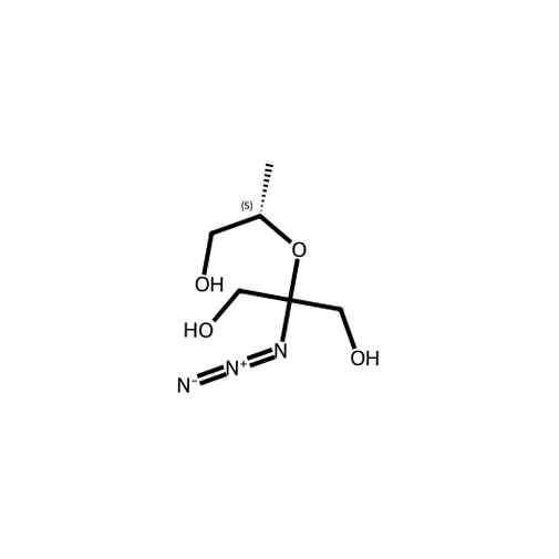 C[C@@H](CO)OC(CO)(CO)N=[N+]=[N-]